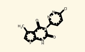 Cc1csc2[nH]c(=O)n(-c3ccc(Cl)nn3)c(=O)c12